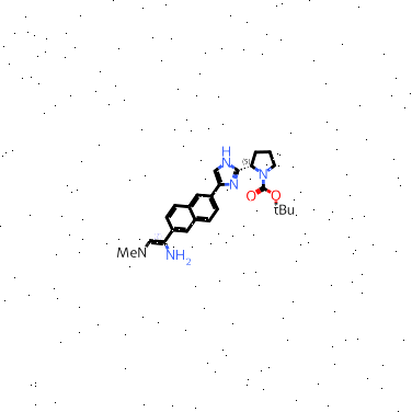 CN/C=C(\N)c1ccc2cc(-c3c[nH]c([C@@H]4CCCN4C(=O)OC(C)(C)C)n3)ccc2c1